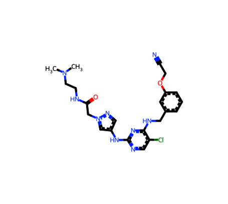 CN(C)CCNC(=O)Cn1cc(Nc2ncc(Cl)c(NCc3cccc(OCC#N)c3)n2)cn1